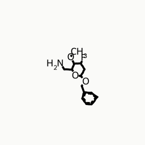 COC1C(F)CC(OCc2ccccc2)OC1CN